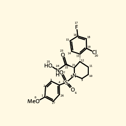 COc1ccc(S(=O)(=O)N2CCC[C@@H](c3ccc(F)cc3Cl)[C@@H]2C(=O)NO)cc1